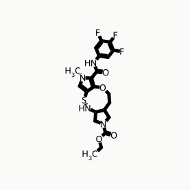 CCOC(=O)N1CC2CCOc3c(cn(C)c3C(=O)Nc3cc(F)c(F)c(F)c3)SNC2C1